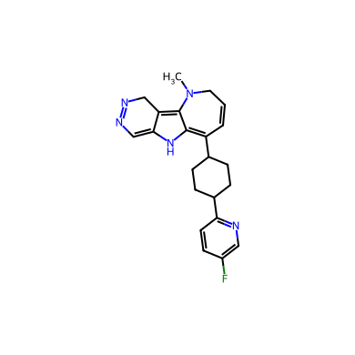 CN1CC=CC(C2CCC(c3ccc(F)cn3)CC2)=c2[nH]c3c(c21)CN=NC=3